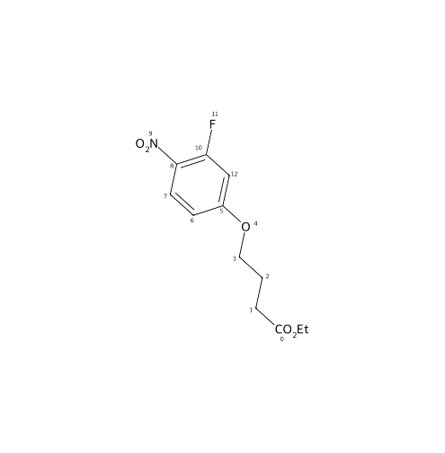 CCOC(=O)CCCOc1ccc([N+](=O)[O-])c(F)c1